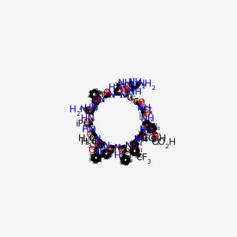 CCC1NC(=O)CSC[C@@H](C(=O)NC(CCN)C(N)=O)NC(=O)C(CCCN)NC(=O)C(C(C)C)NC(=O)C(CC2CCCCC2)NC(=O)[C@H](CCN)NC(=O)[C@@H](CC(C)C)NC(=O)[C@H](C)N(C)C(=O)C(CCC(N)=O)NC(=O)[C@H](Cc2ccc(-c3ccccc3)cc2)NC(=O)[C@H](CCc2ccccc2)NC(=O)C(Cc2cccc(C(F)(F)F)c2)NC(=O)[C@H](CC(=O)O)NC(=O)C(Cc2ccc(OCC(=O)O)cc2)NC1=O